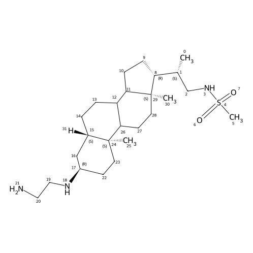 C[C@H](CNS(C)(=O)=O)[C@H]1CCC2C3CC[C@H]4C[C@H](NCCN)CC[C@]4(C)C3CC[C@@]21C